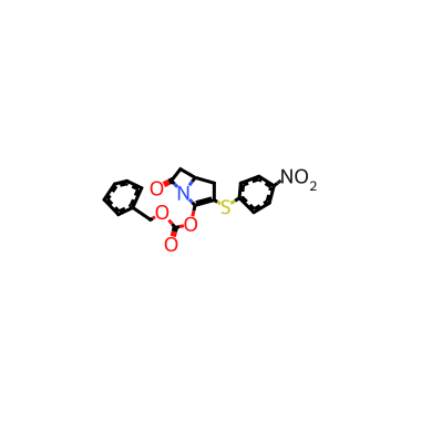 O=C(OCc1ccccc1)OC1=C(Sc2ccc([N+](=O)[O-])cc2)CC2CC(=O)N12